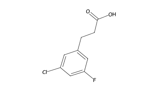 O=C(O)CCc1cc(F)cc(Cl)c1